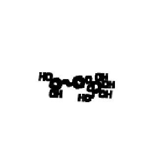 OC[C@@H]1O[C@H](Oc2ccc(/C=C/c3cc(O)cc(O)c3)cc2)[C@@H](O)[C@H](O)[C@H]1O